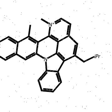 Cc1c2ccccc2cc2c1c1c3c(cc[n+]1C)cc(CC(C)C)c1c4ccccc4n2c13